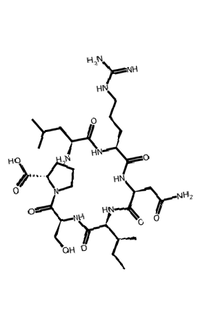 CC[C@H](C)[C@H](NC(=O)[C@H](CC(N)=O)NC(=O)[C@H](CCCNC(=N)N)NC(=O)[C@@H](N)CC(C)C)C(=O)N[C@@H](CO)C(=O)N1CCC[C@H]1C(=O)O